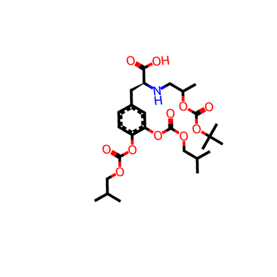 CC(C)COC(=O)Oc1ccc(C[C@H](NCC(C)OC(=O)OC(C)(C)C)C(=O)O)cc1OC(=O)OCC(C)C